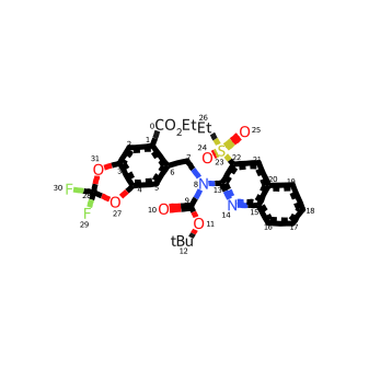 CCOC(=O)c1cc2c(cc1CN(C(=O)OC(C)(C)C)c1nc3ccccc3cc1S(=O)(=O)CC)OC(F)(F)O2